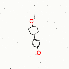 CCOC1CCC(c2ccc(OC)cc2)CC1